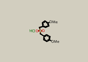 COc1ccc(CS(=O)(=O)Cc2ccc(OC)cc2)cc1.Cl